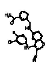 N#Cc1cnc2ccc(NCc3cccc(C(N)=O)c3)cc2c1Nc1ccc(F)c(Cl)c1